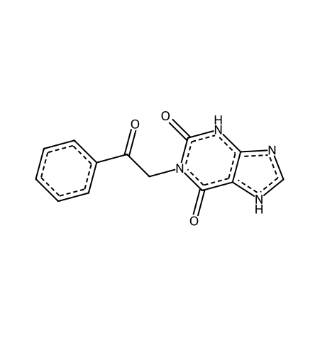 O=C(Cn1c(=O)[nH]c2nc[nH]c2c1=O)c1ccccc1